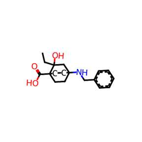 CCC1(O)CC2(NCc3ccccc3)CCC1(C(=O)O)CC2